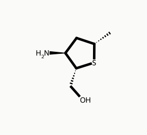 C[C@H]1C[C@H](N)[C@@H](CO)S1